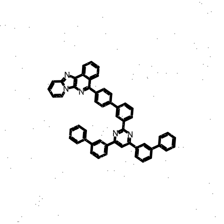 c1ccc(-c2cccc(-c3cc(-c4cccc(-c5ccccc5)c4)nc(-c4cccc(-c5ccc(-c6nc7c(nc8ccccn87)c7ccccc67)cc5)c4)n3)c2)cc1